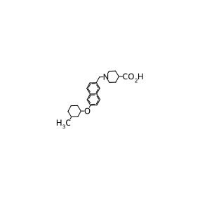 CC1CCCC(Oc2ccc3cc(CN4CCC(C(=O)O)CC4)ccc3c2)C1